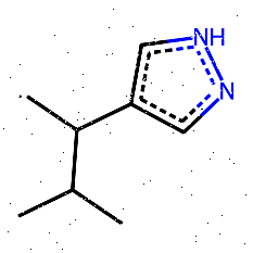 [CH2]C(c1cn[nH]c1)C(C)C